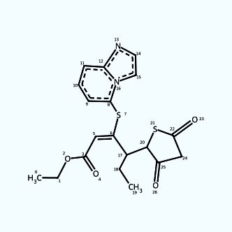 CCOC(=O)C=C(Sc1cccc2nccn12)C(CC)C1SC(=O)CC1=O